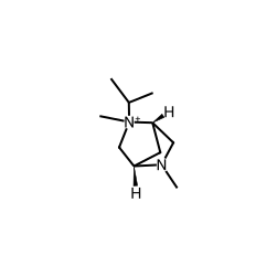 CC(C)[N+]1(C)C[C@@H]2C[C@H]1CN2C